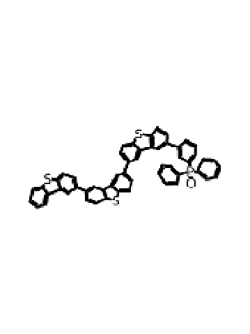 O=P(c1ccccc1)(c1ccccc1)c1cccc(-c2ccc3sc4ccc(-c5ccc6sc7ccc(-c8ccc9sc%10ccccc%10c9c8)cc7c6c5)cc4c3c2)c1